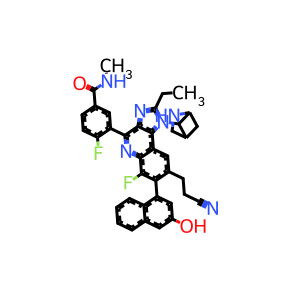 CCc1nc2c(-c3cc(C(=O)NC)ccc3F)nc3c(F)c(-c4cc(O)cc5ccccc45)c(CCC#N)cc3c2n1C1C2CNC1C2